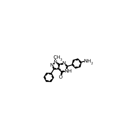 Cn1nc(-c2ccccc2)c2c(=O)[nH]c(-c3ccc(N)cc3)nc21